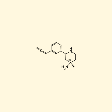 C=C=Cc1cccc(C2C[C@@](C)(N)CCN2)c1